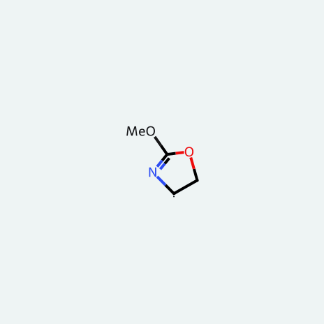 COC1=N[CH]CO1